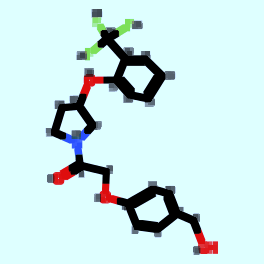 O=C(COc1ccc(CO)cc1)N1CCC(Oc2ccccc2C(F)(F)F)C1